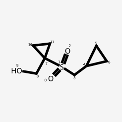 O=S(=O)(CC1CC1)C1(CO)CC1